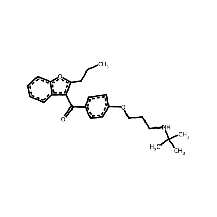 CCCc1oc2ccccc2c1C(=O)c1ccc(OCCCNC(C)(C)C)cc1